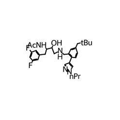 CCCn1cc(-c2ccc(CC(C)(C)C)cc2CNCC(O)C(Cc2cc(F)cc(F)c2)NC(C)=O)cn1